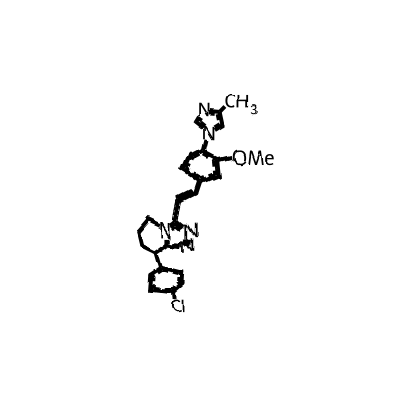 COc1cc(C=Cc2nnc3n2CCCC3c2ccc(Cl)cc2)ccc1-n1cnc(C)c1